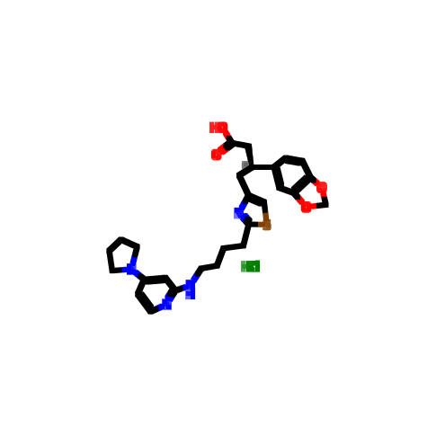 Cl.O=C(O)C[C@H](Cc1csc(CCCCNc2cc(N3CCCC3)ccn2)n1)c1ccc2c(c1)OCO2